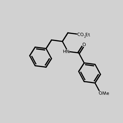 CCOC(=O)CC(Cc1ccccc1)NC(=O)c1ccc(OC)cc1